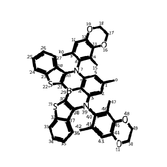 Cc1cc2c3c(c1)N(c1c(C)cc4c(c1C)OCCO4)c1c(sc4ccccc14)B3c1sc3ccccc3c1N2c1c(C)cc2c(c1C)OCCO2